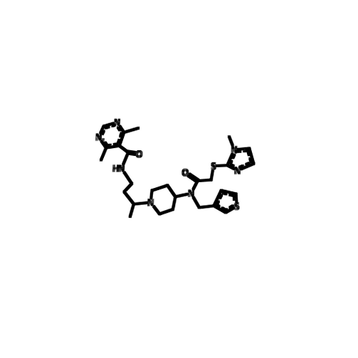 Cc1ncnc(C)c1C(=O)NCCC(C)N1CCC(N(Cc2ccsc2)C(=O)CSc2nccn2C)CC1